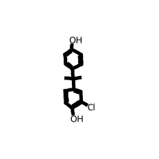 CC(C)(c1ccc(O)cc1)c1ccc(O)c(Cl)c1